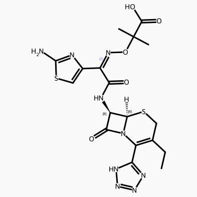 CCC1=C(c2nnn[nH]2)N2C(=O)[C@@H](NC(=O)/C(=N\OC(C)(C)C(=O)O)c3csc(N)n3)[C@H]2SC1